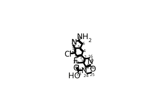 Cc1c(-c2cc3cc(N)ncc3c(Cl)c2F)cnc2c1N(C(=O)O)CCO2